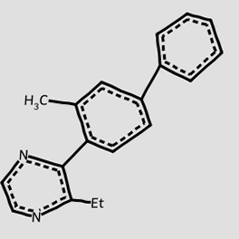 CCc1nccnc1-c1ccc(-c2ccccc2)cc1C